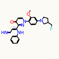 COc1cc(N2CCC(CF)C2)ccc1-n1ccc(=O)c(/C(=C/C=N)Nc2ccccc2)n1